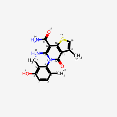 Cc1ccc(O)c(C)c1-n1c(N)c(C(N)=O)c2scc(C)c2c1=O